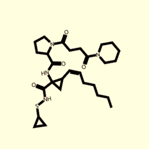 CCCCC/C=C\C1CC1(NC(=O)C1CCCN1C(=O)CCC(=O)N1CCCCC1)C(=O)NSC1CC1